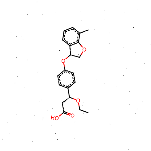 CCO[C@@H](CC(=O)O)c1ccc(OC2COc3c(C)cccc32)cc1